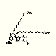 CCCCCCCCCCCCCCCCCCCCCC=CC(=Nc1ccc(CCCC)c(CCCC)c1)C(C#CCCCCCCCCCCCCCCCCCCCCCCC)=Nc1ccc(CCCC)c(CCCC)c1.[Ni]